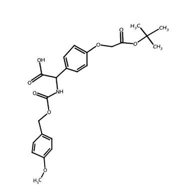 COc1ccc(COC(=O)NC(C(=O)O)c2ccc(OCC(=O)OC(C)(C)C)cc2)cc1